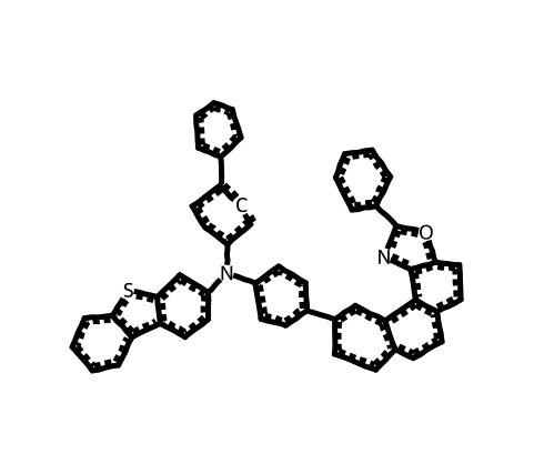 c1ccc(-c2ccc(N(c3ccc(-c4ccc5ccc6ccc7oc(-c8ccccc8)nc7c6c5c4)cc3)c3ccc4c(c3)sc3ccccc34)cc2)cc1